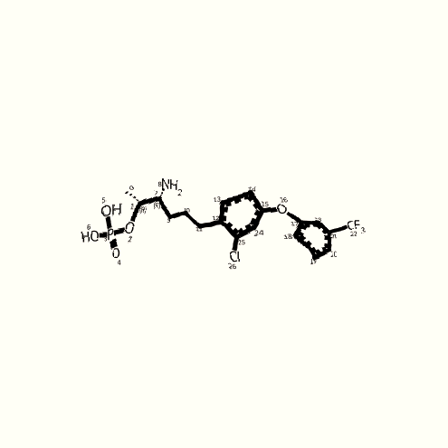 C[C@@H](OP(=O)(O)O)[C@H](N)CCCc1ccc(Oc2cccc(C(F)(F)F)c2)cc1Cl